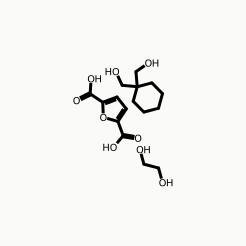 O=C(O)c1ccc(C(=O)O)o1.OCC1(CO)CCCCC1.OCCO